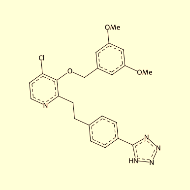 COc1cc(COc2c(Cl)ccnc2CCc2ccc(-c3nnn[nH]3)cc2)cc(OC)c1